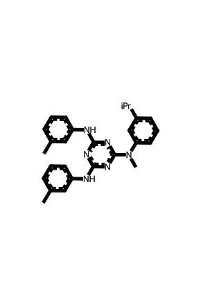 Cc1cccc(Nc2nc(Nc3cccc(C)c3)nc(N(C)c3cccc(C(C)C)c3)n2)c1